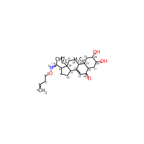 C=CCCO/N=C(/C)C1CCC2C3=CC(=O)C4CC(O)C(O)CC4(C)C3CCC21C